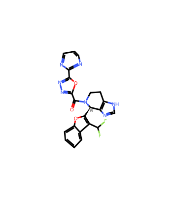 O=C(c1nnc(-c2ncccn2)o1)N1CCc2[nH]cnc2[C@H]1c1oc2ccccc2c1C(F)F